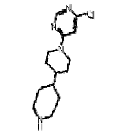 Clc1cc(N2CCC(C3CCNCC3)CC2)ncn1